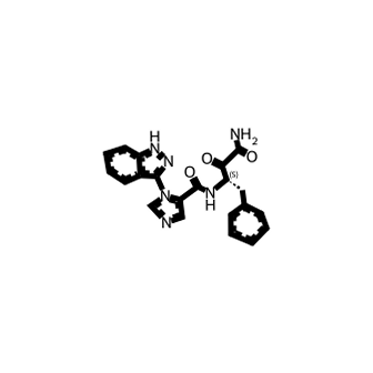 NC(=O)C(=O)[C@H](Cc1ccccc1)NC(=O)c1cncn1-c1n[nH]c2ccccc12